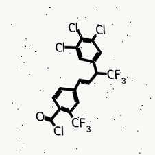 O=C(Cl)c1ccc(C=CC(c2cc(Cl)c(Cl)c(Cl)c2)C(F)(F)F)cc1C(F)(F)F